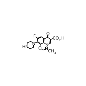 CN1COc2c(N3CCNCC3)c(F)cc3c(=O)c(C(=O)O)cn1c23